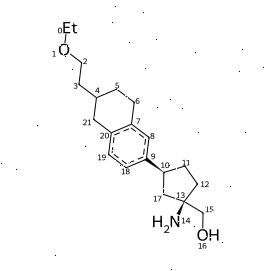 CCOCCC1CCc2cc([C@H]3CC[C@](N)(CO)C3)ccc2C1